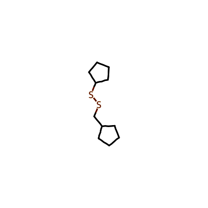 C1CCC(CSSC2CCCC2)C1